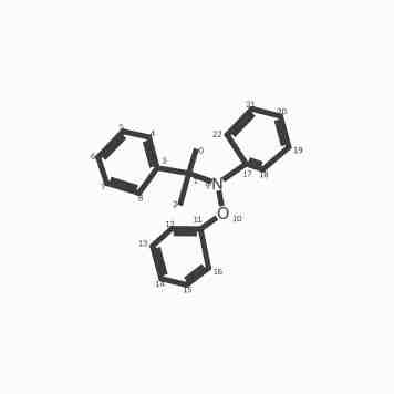 CC(C)(c1ccccc1)N(Oc1ccccc1)c1ccccc1